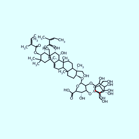 C/C=C(/C)C(=O)O[C@H]1[C@H](OC(=O)/C(C)=C\C)C2(CO)C(CC1(C)C)C1=CCC3[C@@]4(C)CC[C@H](O[C@@H]5OC(C(=O)O)[C@@H](O)C(O[C@@H]6O[C@@H](CO)C(O)C6O)C5O[C@@H]5OC(CO)[C@@H](O)C(O)C5O)[C@](C)(CO)C4CC[C@@]3(C)[C@]1(C)[C@@H](O)[C@H]2O